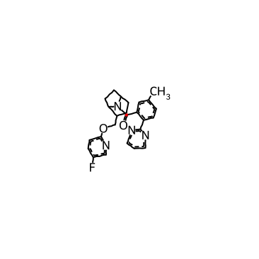 Cc1ccc(-c2ncccn2)c(C(=O)N2C3CCC(COc4ccc(F)cn4)C2CC3)c1